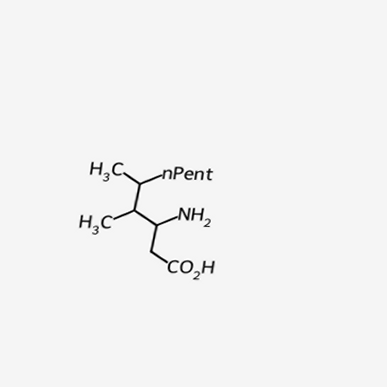 CCCCCC(C)C(C)C(N)CC(=O)O